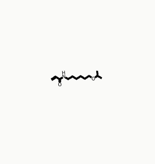 C=CC(=O)NCCCCCCOC(C)C